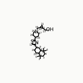 CC1(C)CCC(C)(C)C2CC(c3csc(C4CCN(CC5CC5CO)CC4)n3)CCC21